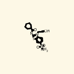 C#CCn1/c(=N\C(=O)C2CCCCC2)sc2cc(S(N)(=O)=O)ccc21